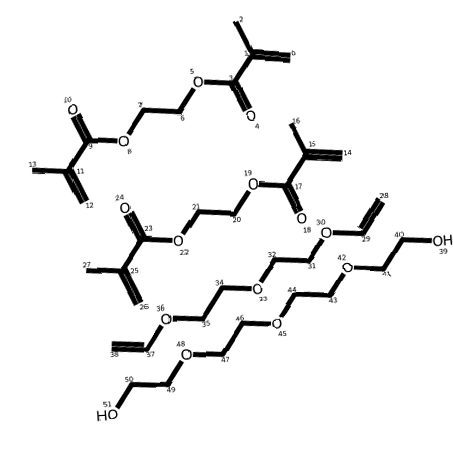 C=C(C)C(=O)OCCOC(=O)C(=C)C.C=C(C)C(=O)OCCOC(=O)C(=C)C.C=COCCOCCOC=C.OCCOCCOCCOCCO